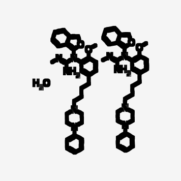 CN=C(N)N(c1cc(CCCCN2CCN(c3ccccc3)CC2)ccc1OC)c1occ2ccccc12.CN=C(N)N(c1cc(CCCCN2CCN(c3ccccc3)CC2)ccc1OC)c1occ2ccccc12.O